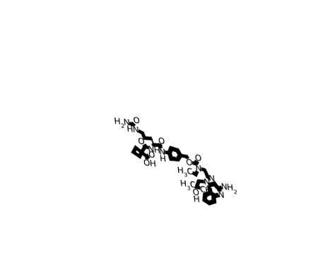 CCN(Cc1nc2c(N)nc3ccccc3c2n1CC(C)(C)O)C(=O)OCc1ccc(NC(=O)[C@H](CCCNC(N)=O)NC(=O)C2(C(=O)O)CCC2)cc1